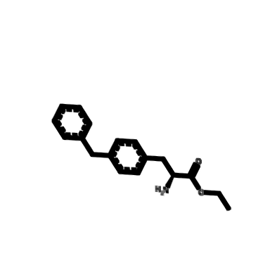 CCOC(=O)[C@@H](N)Cc1ccc(Cc2ccccc2)cc1